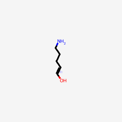 NCCC/C=C/O